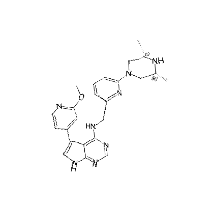 COc1cc(-c2c[nH]c3ncnc(NCc4cccc(N5C[C@@H](C)N[C@@H](C)C5)n4)c23)ccn1